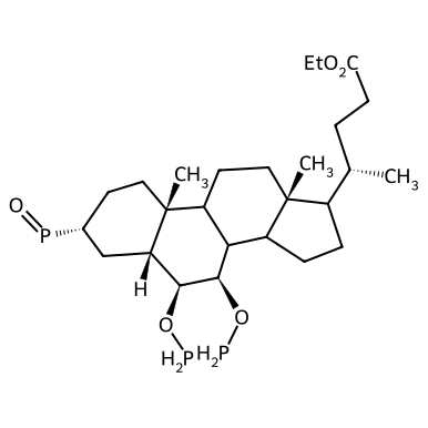 CCOC(=O)CC[C@H](C)C1CCC2C3C(CC[C@@]21C)[C@@]1(C)CC[C@@H](P=O)C[C@H]1[C@H](OP)[C@@H]3OP